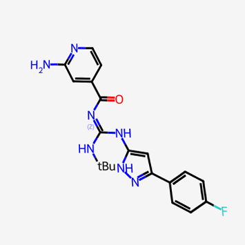 CC(C)(C)N/C(=N/C(=O)c1ccnc(N)c1)Nc1cc(-c2ccc(F)cc2)n[nH]1